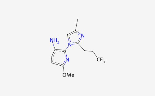 COc1ccc(N)c(-n2cc(C)nc2CCC(F)(F)F)n1